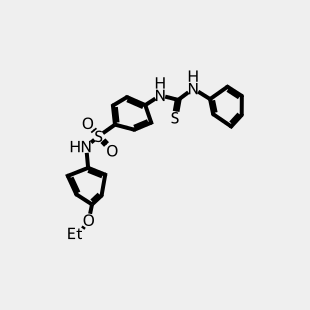 CCOc1ccc(NS(=O)(=O)c2ccc(NC(=S)Nc3ccccc3)cc2)cc1